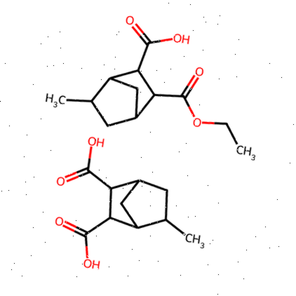 CC1CC2CC1C(C(=O)O)C2C(=O)O.CCOC(=O)C1C2CC(C)C(C2)C1C(=O)O